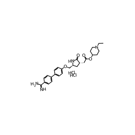 CCN1CCC(OC(=O)C[C@@H]2C[C@@H](COc3ccc(-c4ccc(C(=N)N)cc4)cc3)NC2=O)CC1.Cl.Cl